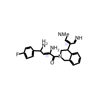 CN/C=C(\C=N)C1CN(C(=O)/C(N)=C/C(N)c2ccc(F)cc2)Cc2ccccc21